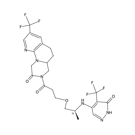 C[C@@H](COCCC(=O)N1CC2CCc3cc(C(F)(F)F)cnc3N2CC1=O)Nc1cn[nH]c(=O)c1C(F)(F)F